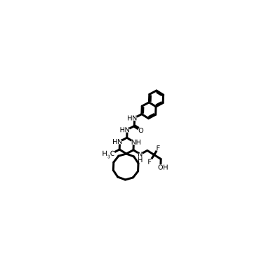 CC1NC(NC(=O)Nc2ccc3ccccc3c2)NC(NCC(F)(F)CO)C12CCCCCCCCC2